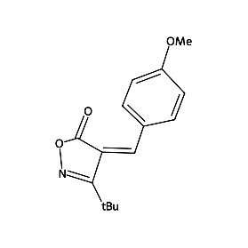 COc1ccc(/C=C2\C(=O)ON=C2C(C)(C)C)cc1